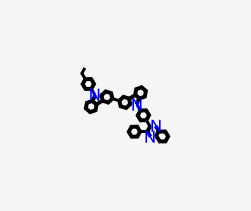 CCc1ccc(-n2c3ccccc3c3cc(-c4ccc5c(c4)c4ccccc4n5-c4ccc(-c5nc6ccccc6nc5-c5ccccc5)cc4)ccc32)cc1